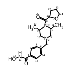 CC1CN(Cc2ccc(C(=O)NO)cc2)CC(C)N1C(=O)C1CCCO1